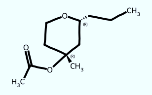 CCC[C@@H]1C[C@](C)(OC(C)=O)CCO1